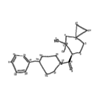 C[N+]1(O)CC2(CC[C@H]1C(=O)N1CCC(c3ccccc3)CC1)CC2